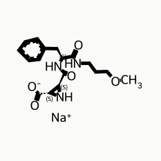 COCCCNC(=O)[C@H](Cc1ccccc1)NC(=O)[C@H]1N[C@@H]1C(=O)[O-].[Na+]